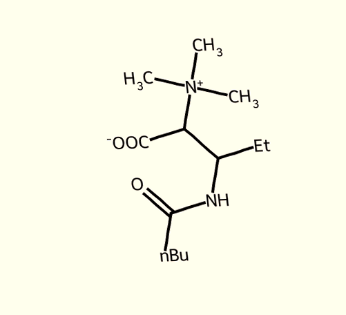 CCCCC(=O)NC(CC)C(C(=O)[O-])[N+](C)(C)C